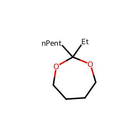 CCCCCC1(CC)OCCCCO1